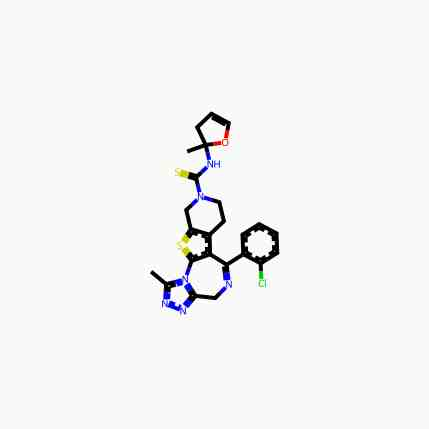 Cc1nnc2n1-c1sc3c(c1C(c1ccccc1Cl)=NC2)CCN(C(=S)NC1(C)CC=CO1)C3